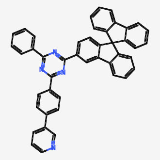 c1ccc(-c2nc(-c3ccc(-c4cccnc4)cc3)nc(-c3ccc4c(c3)-c3ccccc3C43c4ccccc4-c4ccccc43)n2)cc1